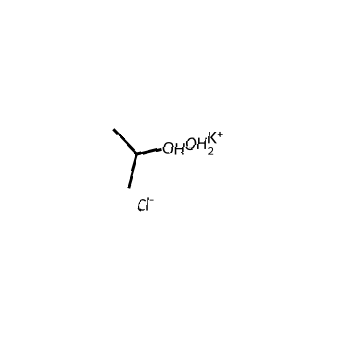 CC(C)O.O.[Cl-].[K+]